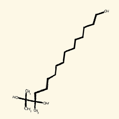 CC(C)(O)C(C)(O)CCCCCCCCCCCCCO